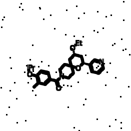 CCO[C@@H]1C[C@@H](c2cccnc2)OC2(CCN(C(=O)c3ccc(OC(C)C)c(C)c3)CC2)C1